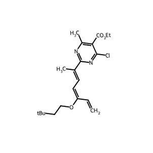 C=C/C(=C\C=C(/C)c1nc(C)c(C(=O)OCC)c(Cl)n1)OCCC(C)(C)C